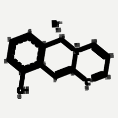 Oc1cccc2c1C=C1[C+]=CC=CN1C2.[Br-]